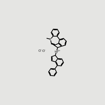 CP1C2=Cc3c(cccc3[CH]2[Hf+2][CH]2C=Cc3c(-c4ccccc4)cccc32)-c2ccccc21.[Cl-].[Cl-]